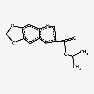 CC(C)OC(=O)c1cnc2cc3c(cc2c1)OCO3